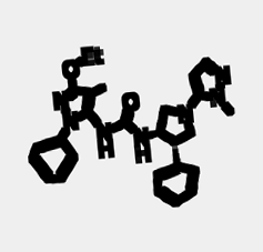 CCOc1nn(-c2ccccc2)c(NC(=O)N[C@H]2CN(c3ccnn3C)C[C@@H]2c2ccccc2)c1C